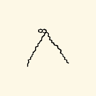 CCCCCCCCCCCCCCCCCCCc1ccc2ccccc2c1CCCCCCCCCCCCCCCCCCC